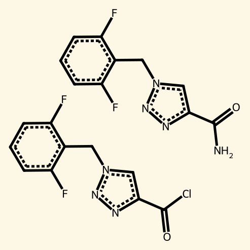 NC(=O)c1cn(Cc2c(F)cccc2F)nn1.O=C(Cl)c1cn(Cc2c(F)cccc2F)nn1